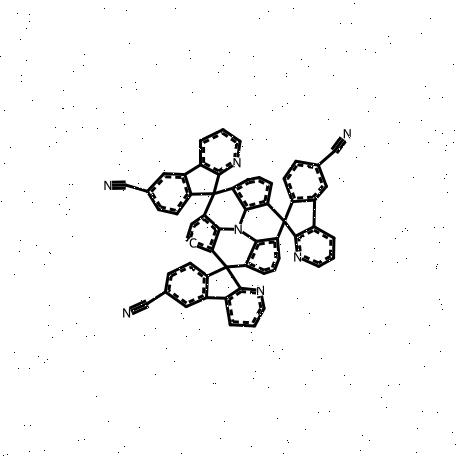 N#Cc1ccc2c(c1)-c1cccnc1C21c2cccc3c2N2c4c1cccc4C1(c4ccc(C#N)cc4-c4cccnc41)c1cccc(c12)C31c2ccc(C#N)cc2-c2cccnc21